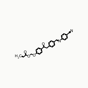 C=CC(=O)OCOc1ccc(C(=O)Cc2ccc(/C=N/c3ccc(C#N)cc3)cc2)cc1